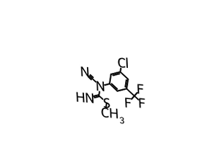 CSC(=N)N(C#N)c1cc(Cl)cc(C(F)(F)F)c1